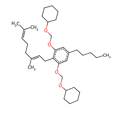 CCCCCc1cc(OCOC2CCCCC2)c(C/C=C(\C)CCC=C(C)C)c(OCOC2CCCCC2)c1